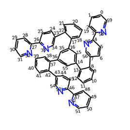 c1ccc(-c2ccc(-c3ccccc3-c3cc(-c4ccccc4-c4ccc(-c5ccccn5)nc4)cc(-c4ccccc4-c4ccc(-c5ccccn5)nc4)c3)cn2)nc1